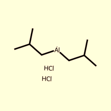 CC(C)[CH2][Al][CH2]C(C)C.Cl.Cl